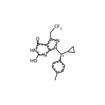 Cc1ccc([C@H](C2CC2)n2nc(CC(F)(F)F)c3c(=O)[nH]c(O)nc32)cc1